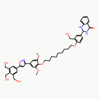 COc1cc(-c2cc(-c3cc(CO)c(CO)c(CO)c3)on2)cc(OC)c1OCCCCCCCCCOc1ccc(C2NC(=O)c3ccccc3N2)cc1CO